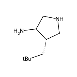 CC(C)(C)C[C@H]1CNCC1N